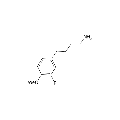 COc1ccc(CCCCN)cc1F